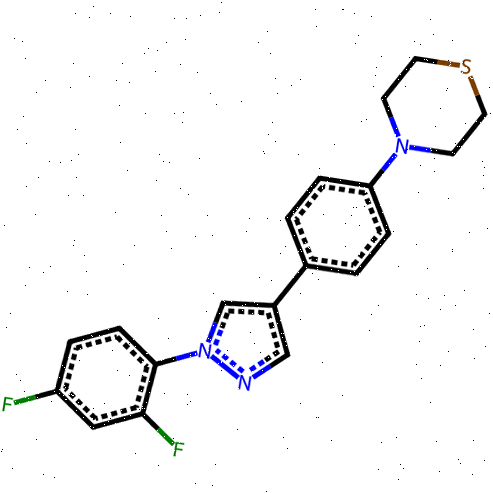 Fc1ccc(-n2cc(-c3ccc(N4CCSCC4)cc3)cn2)c(F)c1